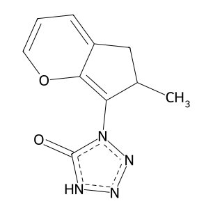 CC1CC2=CC=COC2=C1n1nn[nH]c1=O